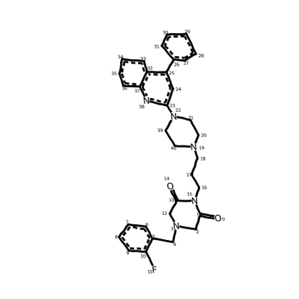 O=C1CN(Cc2ccccc2F)CC(=O)N1CCCN1CCN(c2cc(-c3ccccc3)c3ccccc3n2)CC1